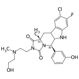 CN(CCO)CCN1C(=O)N2[C@H](c3cccc(O)c3)C3Nc4cc(F)c(Cl)cc4C3C[C@@]2(C)C1=O